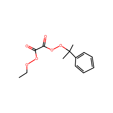 CCOOC(=O)C(=O)OOC(C)(C)c1ccccc1